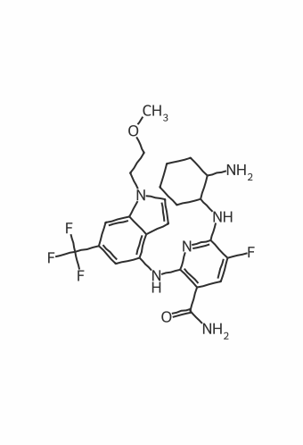 COCCn1ccc2c(Nc3nc(NC4CCCCC4N)c(F)cc3C(N)=O)cc(C(F)(F)F)cc21